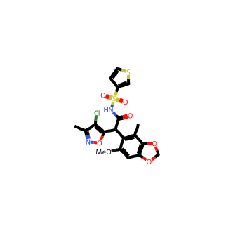 COc1cc2c(c(C)c1C(C(=O)NS(=O)(=O)c1ccsc1)c1onc(C)c1Cl)OCO2